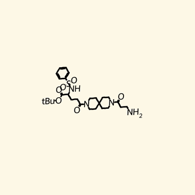 CC(C)(C)OC(=O)C(CCC(=O)N1CCC2(CCN(C(=O)CCN)CC2)CC1)NS(=O)(=O)c1ccccc1